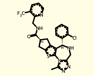 Cc1nnc2n1-c1sc3c(c1[C@H](c1ccccc1Cl)NC2)C[C@H](C(=O)NCc1ncccc1C(F)(F)F)C3